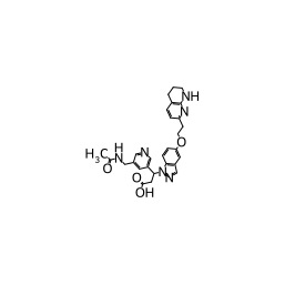 CC(=O)NCc1cncc(C(CC(=O)O)n2ncc3cc(OCCc4ccc5c(n4)NCCC5)ccc32)c1